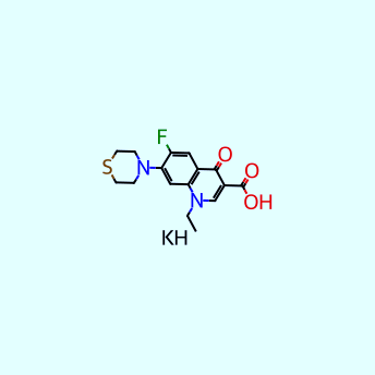 CCn1cc(C(=O)O)c(=O)c2cc(F)c(N3CCSCC3)cc21.[KH]